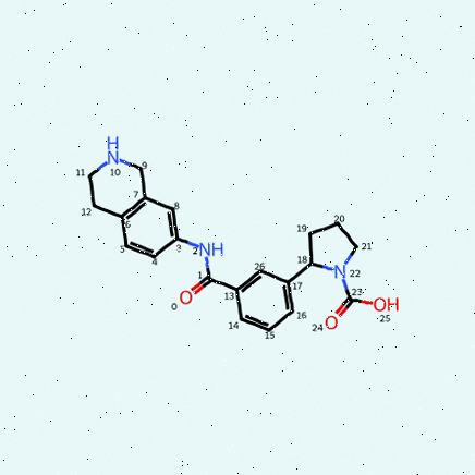 O=C(Nc1ccc2c(c1)CNCC2)c1cccc(C2CCCN2C(=O)O)c1